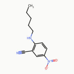 CCCCCNc1ccc([N+](=O)[O-])cc1C#N